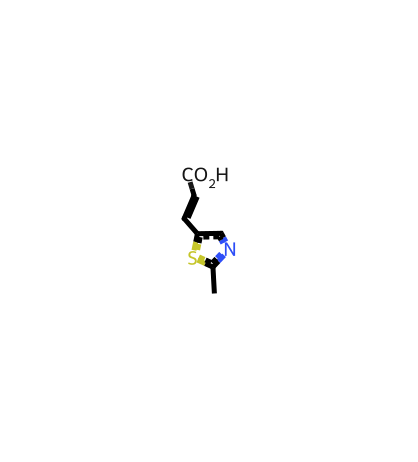 Cc1ncc(C=CC(=O)O)s1